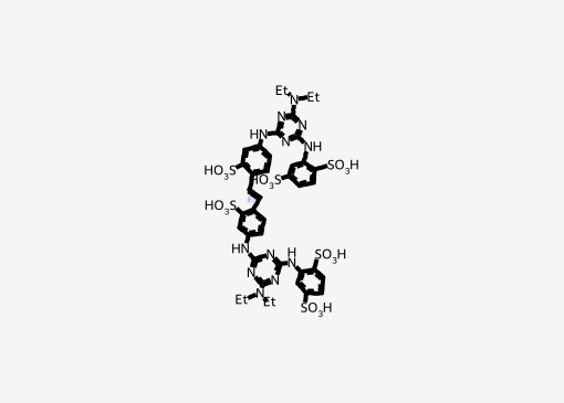 CCN(CC)c1nc(Nc2ccc(/C=C/c3ccc(Nc4nc(Nc5cc(S(=O)(=O)O)ccc5S(=O)(=O)O)nc(N(CC)CC)n4)cc3S(=O)(=O)O)c(S(=O)(=O)O)c2)nc(Nc2cc(S(=O)(=O)O)ccc2S(=O)(=O)O)n1